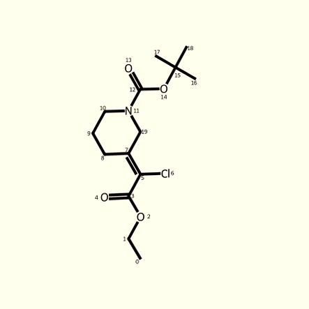 CCOC(=O)C(Cl)=C1CCCN(C(=O)OC(C)(C)C)C1